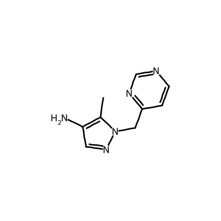 Cc1c(N)cnn1Cc1ccncn1